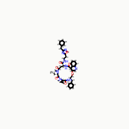 CC(C)C[C@H]1C(=O)N(C)C2(CC2)C(=O)N[C@H](Cc2ccccc2)COc2cnc3ccccc3c2C(=O)N[C@H](C(=O)NCCc2nc(Cc3ccccc3)no2)CC(=O)N1C